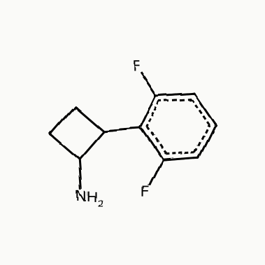 NC1CCC1c1c(F)cccc1F